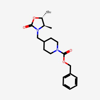 C[C@@H]1[C@@H](C(C)(C)C)OC(=O)N1CC1CCN(C(=O)OCc2ccccc2)CC1